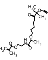 C=C(C)C(=O)OCCNC(=O)C(C)OCCCCCC(=O)C(C)(CC)OC#N